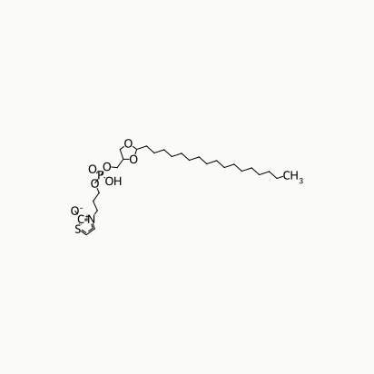 CCCCCCCCCCCCCCCCCC1OCC(COP(=O)(O)OCCCn2ccs[c+]2[O-])O1